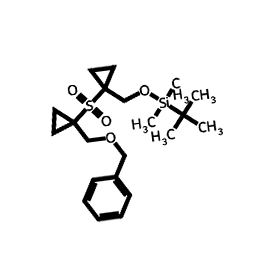 CC(C)(C)[Si](C)(C)OCC1(S(=O)(=O)C2(COCc3ccccc3)CC2)CC1